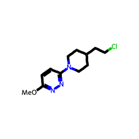 COc1ccc(N2CCC(CCCl)CC2)nn1